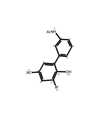 CC(=O)Nc1cccc(-c2cc(C#N)cc(Br)c2O)c1